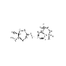 COc1ccc(CCc2ccc3c(c2)C(C)(C)CCC3(C)C)ccc1=O